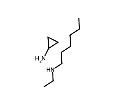 CCCCCCNCC.NC1CC1